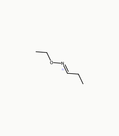 CC/C=N/OCC